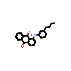 CCCCc1cccc(Nc2cccc3c2C(=O)c2ccccc2C3=O)c1